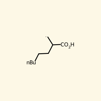 [CH2]C(CCCCCC)C(=O)O